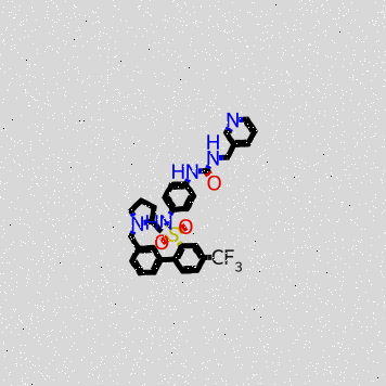 CC1CCCN1Cc1cccc(-c2ccc(C(F)(F)F)cc2S(=O)(=O)Nc2ccc(NC(=O)NCc3cccnc3)cc2)c1